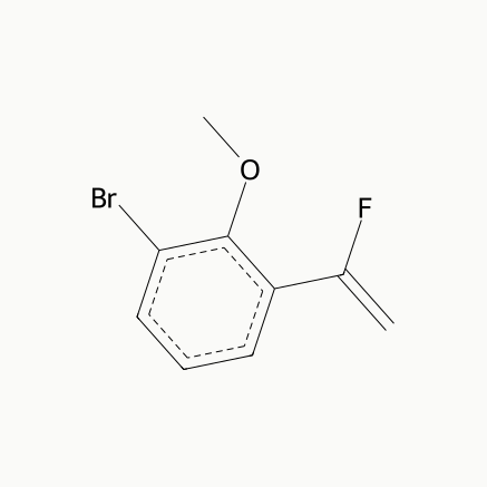 C=C(F)c1cccc(Br)c1OC